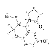 CC1(C)Oc2ccc(C(F)(F)F)cc2C(N2CCCC2=O)=C1CBr